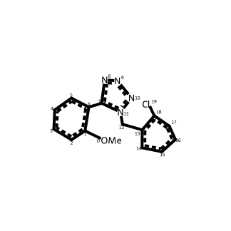 COc1ccccc1-c1nnnn1Cc1ccccc1Cl